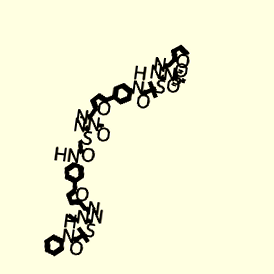 CCn1c(SC(C)(C)C(=O)Nc2ccccc2)nnc1-c1ccc(-c2ccc(NC(=O)CSc3nnc(-c4ccc(-c5ccc(NC(=O)C(C)(C)Sc6nnc(-c7ccco7)n6S(C)(=O)=O)cc5)o4)n3C=O)cc2)o1